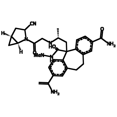 C=C(N)c1ccc2c(c1)CCc1cc(C(N)=O)ccc1C2(C[C@@H](C)NCC(=O)N1C(C#N)C[C@@H]2C[C@@H]21)C(=O)NNC